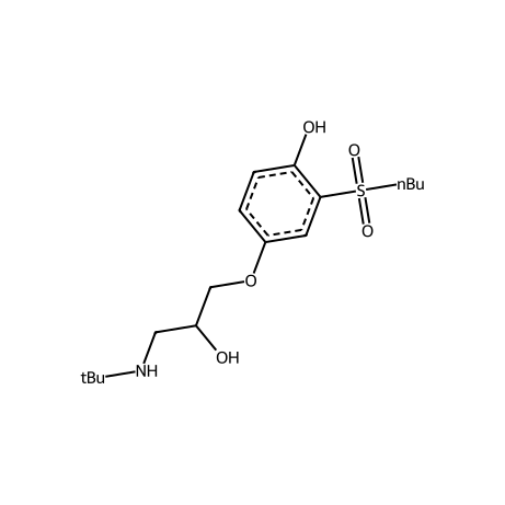 CCCCS(=O)(=O)c1cc(OCC(O)CNC(C)(C)C)ccc1O